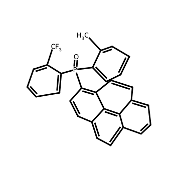 Cc1ccccc1P(=O)(c1ccccc1C(F)(F)F)c1ccc2ccc3cccc4ccc1c2c34